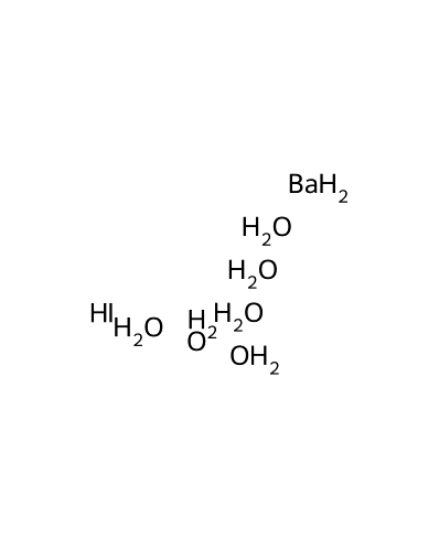 I.O.O.O.O.O.O.[BaH2]